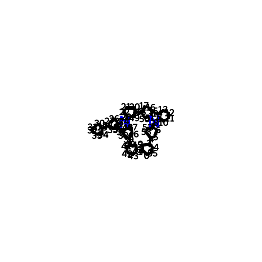 c1ccc(-c2ccc(-n3c4ccccc4c4ccc(-c5cccc(-n6c7ccc(-c8ccccc8)cc7c7cc(-c8ccccc8)ccc76)c5)cc43)cc2)cc1